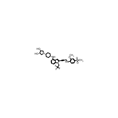 COc1cc(S(C)(=O)=O)ccc1NCC#Cc1cc2c(N[C@H]3CC[C@@H](N4C[C@H](O)[C@@H](O)C4)CC3)cccc2n1CC(F)(F)F